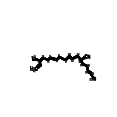 C=CC(CC)CC/C=C/CC/C=C/CC(C#N)CC/C=C/CC